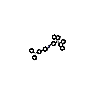 C(=C\c1ccc(N(c2cccc3ccccc23)c2cc3ccccc3c3ccccc23)cc1)/c1ccc(-c2ccc(N(c3ccccc3)c3ccccc3)cc2)cc1